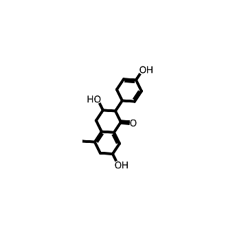 CC1=C2CC(O)C(C3C=CC(O)=CC3)C(=O)C2=CC(O)C1